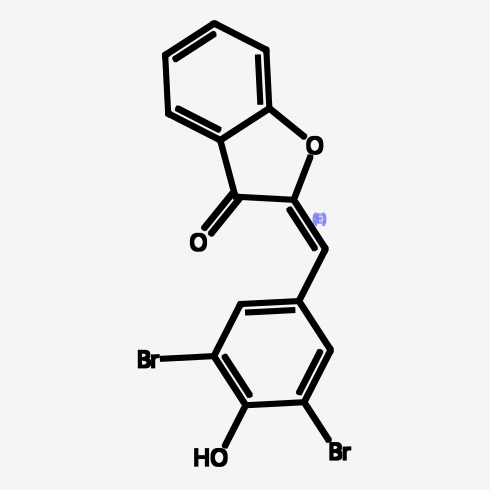 O=C1/C(=C\c2cc(Br)c(O)c(Br)c2)Oc2ccccc21